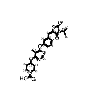 Cc1c(Oc2cccc(C=C3SC(=O)N(C(C)C)C3=O)c2)ncnc1OC1CCN(C(=O)O)CC1